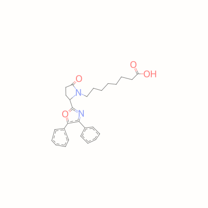 O=C(O)CCCCCCCN1C(=O)CCC1c1nc(-c2ccccc2)c(-c2ccccc2)o1